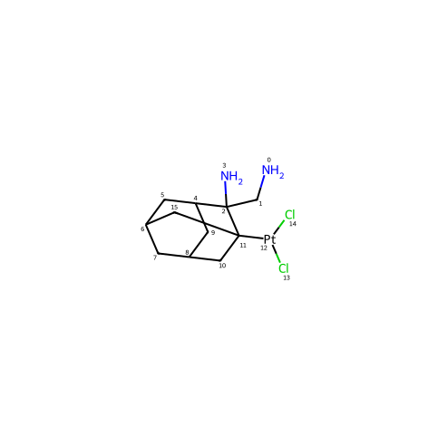 NCC1(N)C2CC3CC(C2)C[C]1([Pt]([Cl])[Cl])C3